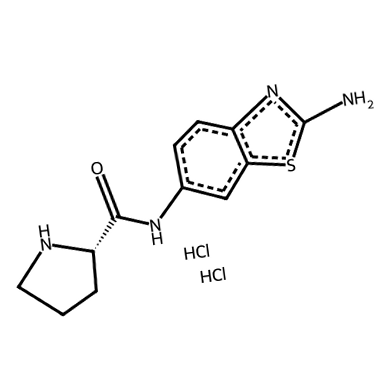 Cl.Cl.Nc1nc2ccc(NC(=O)[C@@H]3CCCN3)cc2s1